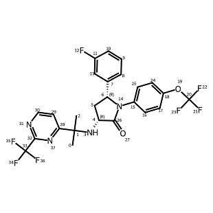 CC(C)(N[C@@H]1C[C@H](c2cccc(F)c2)N(c2ccc(OC(F)(F)F)cc2)C1=O)c1ccnc(C(F)(F)F)n1